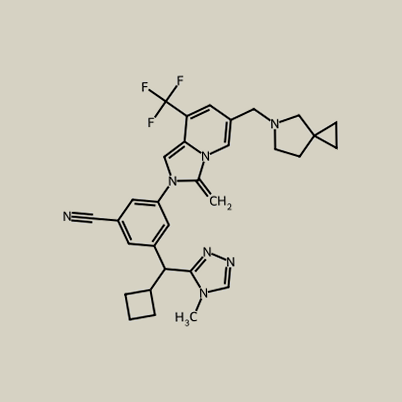 C=C1N2C=C(CN3CCC4(CC4)C3)C=C(C(F)(F)F)C2=CN1c1cc(C#N)cc(C(c2nncn2C)C2CCC2)c1